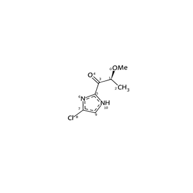 CO[C@@H](C)C(=O)c1nc(Cl)c[nH]1